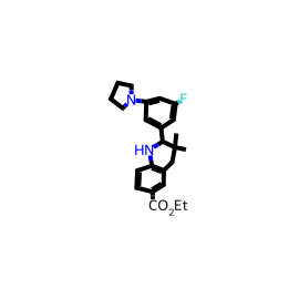 CCOC(=O)c1ccc2c(c1)CC(C)(C)C(c1cc(F)cc(N3CCCC3)c1)N2